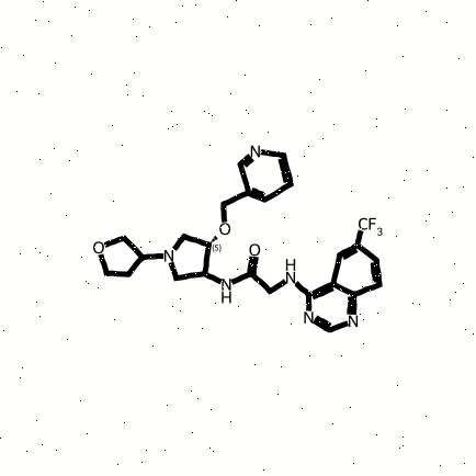 O=C(CNc1ncnc2ccc(C(F)(F)F)cc12)NC1CN(C2CCOC2)C[C@@H]1OCc1cccnc1